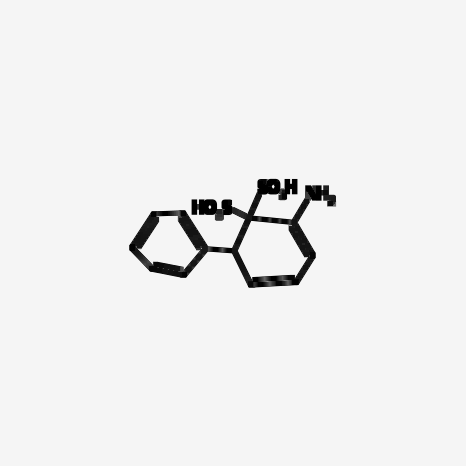 NC1=CC=CC(c2ccccc2)C1(S(=O)(=O)O)S(=O)(=O)O